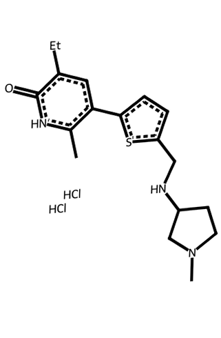 CCc1cc(-c2ccc(CNC3CCN(C)C3)s2)c(C)[nH]c1=O.Cl.Cl